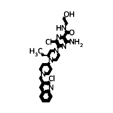 CC[C@H]1CN(c2nc(N)c(C(=O)NCCO)nc2Cl)CCN1C1CCN(Cc2cc3ccccc3nc2Cl)CC1